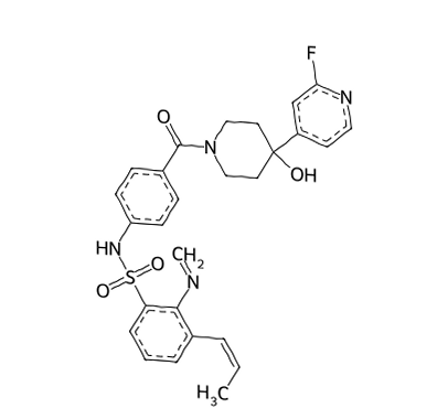 C=Nc1c(/C=C\C)cccc1S(=O)(=O)Nc1ccc(C(=O)N2CCC(O)(c3ccnc(F)c3)CC2)cc1